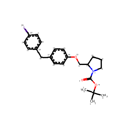 CC(C)(C)OC(=O)N1CCCC1COc1ccc(Cc2ccc(I)cc2)cc1